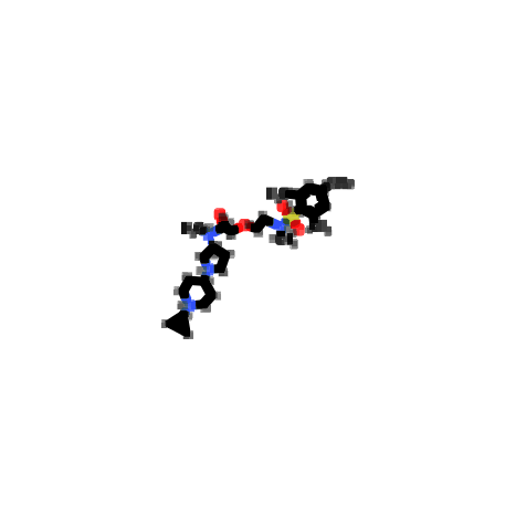 COc1cc(C)c(S(=O)(=O)N(C)CCOCC(=O)N(C)[C@@H]2CCN(C3CCN(C4CC4)CC3)C2)c(C)c1